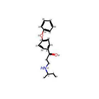 CCC(C)NCCC(=O)c1ccc(Oc2ccccc2)cc1